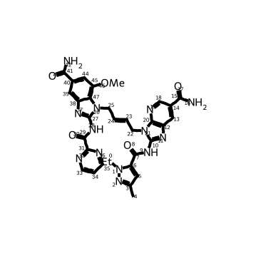 CCn1nc(C)cc1C(=O)Nc1nc2cc(C(N)=O)cnc2n1C/C=C/Cn1c(NC(=O)c2ncccn2)nc2cc(C(N)=O)cc(OC)c21